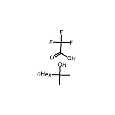 CCCCCCC(C)(C)O.O=C(O)C(F)(F)F